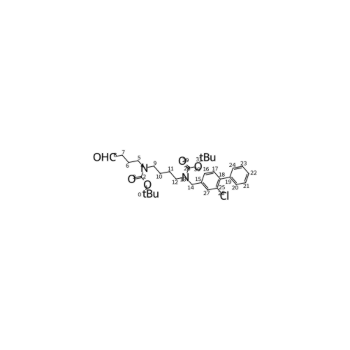 CC(C)(C)OC(=O)N(CCCC=O)CCCCN(Cc1ccc(-c2ccccc2)c(Cl)c1)C(=O)OC(C)(C)C